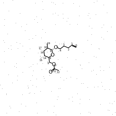 C=CCCCO[C@@H]1OC(COC(C)=O)[C@H](C)[C@H](C)C1C